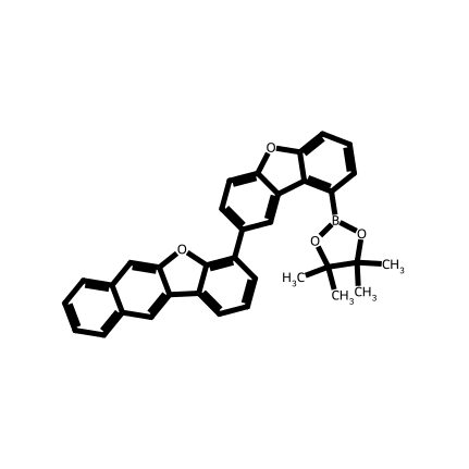 CC1(C)OB(c2cccc3oc4ccc(-c5cccc6c5oc5cc7ccccc7cc56)cc4c23)OC1(C)C